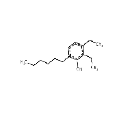 CCCCCCc1ccc(CC)c(CC)c1O